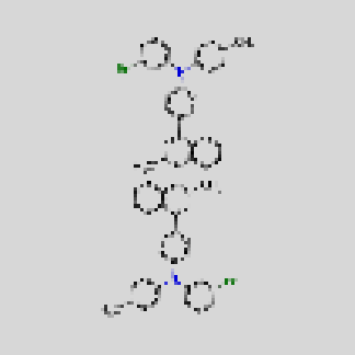 Cc1ccc(N(c2ccc(-c3cc(C)c(-c4c(C)cc(-c5ccc(N(c6ccc(C)cc6)c6cccc(Br)c6)cc5)c5ccccc45)c4ccccc34)cc2)c2cccc(Br)c2)cc1